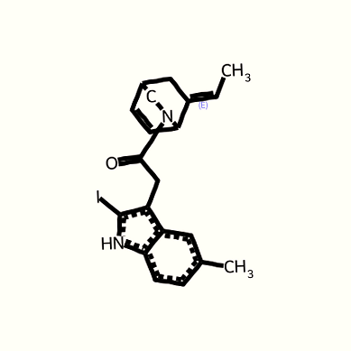 C/C=C1\CC2C=CC1N(C(=O)Cc1c(I)[nH]c3ccc(C)cc13)C2